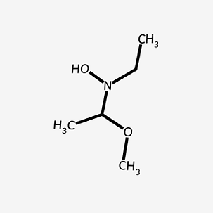 CCN(O)C(C)OC